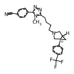 Cn1c(CCCCN2C[C@@H]3C[C@]3(c3ccc(C(F)(F)F)cc3)C2)nnc1-c1ccc(C#N)cc1